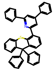 c1ccc(-c2cc(-c3ccccc3)nc(-c3cccc4c3Sc3ccccc3C4(c3ccccc3)c3ccccc3)c2)cc1